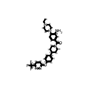 CCN1CCN(c2ccc(C(=O)N3CCC(c4ccc(Oc5ccc(C(F)(F)F)nn5)cc4)CC3)cc2N)CC1